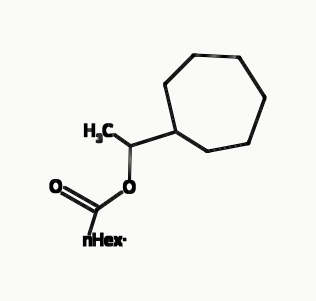 CCCCC[CH]C(=O)OC(C)C1CCCCCC1